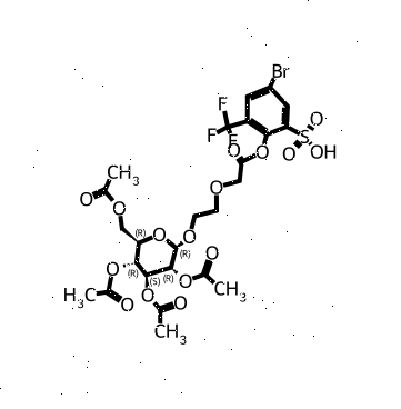 CC(=O)OC[C@H]1O[C@@H](OCCOCC(=O)Oc2c(C(F)(F)F)cc(Br)cc2S(=O)(=O)O)[C@H](OC(C)=O)[C@@H](OC(C)=O)[C@@H]1OC(C)=O